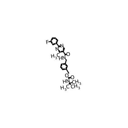 Cc1nc(-c2cccc(F)c2)ncc1C(=O)NCc1cccc(COC(=O)NC(C)(C)C)c1